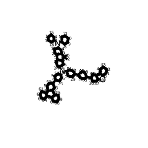 CC1(C)c2cc(N(c3ccccc3)c3ccccc3)ccc2-c2ccc(N(c3ccc(-c4ccc(-c5ccc6oc7ccccc7c6c5)cc4)cc3)c3ccc(-c4ccc5c6ccccc6c6ccccc6c5c4)cc3)cc21